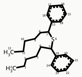 CCCCCC(SC(CCCCC)c1ccccc1)c1ccccc1